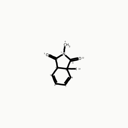 CN1C(=O)C2C=CC=CC2(I)C1=O